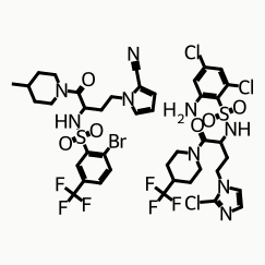 CC1CCN(C(=O)C(CCn2cccc2C#N)NS(=O)(=O)c2cc(C(F)(F)F)ccc2Br)CC1.Nc1cc(Cl)cc(Cl)c1S(=O)(=O)NC(CCn1ccnc1Cl)C(=O)N1CCC(C(F)(F)F)CC1